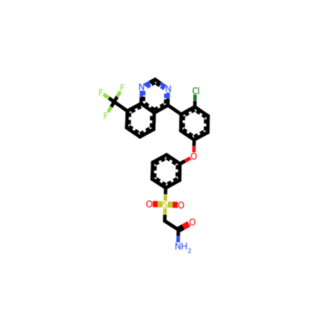 NC(=O)CS(=O)(=O)c1cccc(Oc2ccc(Cl)c(-c3ncnc4c(C(F)(F)F)cccc34)c2)c1